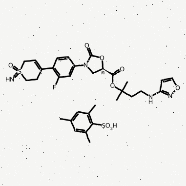 CC(C)(CCNc1ccon1)OC(=O)[C@H]1CN(c2ccc(C3=CCS(=N)(=O)CC3)c(F)c2)C(=O)O1.Cc1cc(C)c(S(=O)(=O)O)c(C)c1